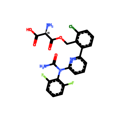 NC(=O)N(c1cccc(-c2cccc(Cl)c2COC(=O)[C@@H](N)C(=O)O)n1)c1c(F)cccc1F